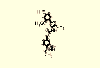 CCN1NNc2cc(COC(=O)Nc3sc(-c4ccc(C)cc4OC)nc3C)ccc21